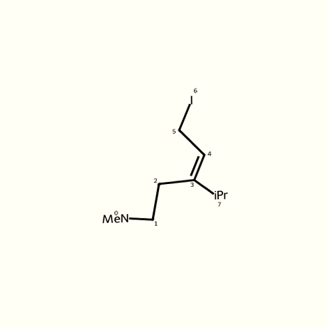 CNCC/C(=C\CI)C(C)C